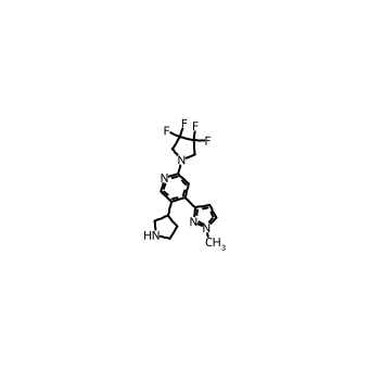 Cn1ccc(-c2cc(N3CC(F)(F)C(F)(F)C3)ncc2C2CCNC2)n1